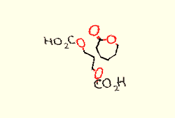 O=C(O)OCCCOC(=O)O.O=C1CCCCCO1